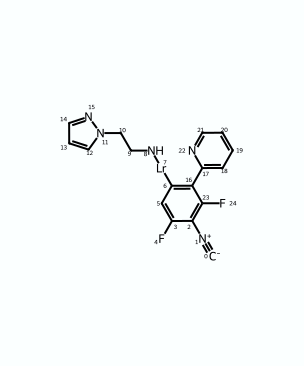 [C-]#[N+]c1c(F)c[c]([Lr][NH]CCn2cccn2)c(-c2ccccn2)c1F